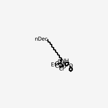 CCCCCCCCCCCCCCCCCCCCCCCCCC(=O)NC(c1ccc(Oc2ccccc2)cc1)N(CCOCC)C(=O)C(Cl)Cl